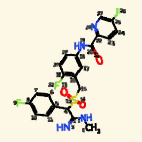 CNC(=N)C(c1ccc(F)cc1)S(=O)(=O)Cc1cc(NC(=O)c2ccc(F)cn2)ccc1F